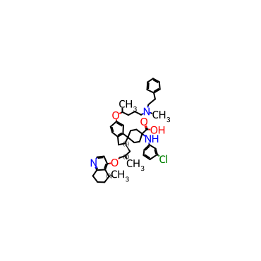 CC(CCCN(C)CCc1ccccc1)Oc1ccc2c(c1)C1(CCC(Nc3cccc(Cl)c3)(C(=O)O)CC1)[C@@H](C[C@@H](C)COc1ccnc3c1[C@H](C)CCC3)C2